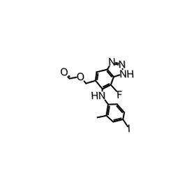 Cc1cc(I)ccc1Nc1c(COC=O)cc2nn[nH]c2c1F